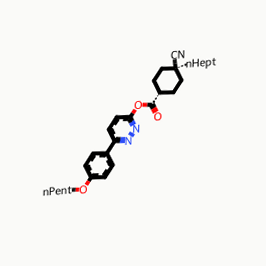 CCCCCCC[C@]1(C#N)CC[C@H](C(=O)Oc2ccc(-c3ccc(OCCCCC)cc3)nn2)CC1